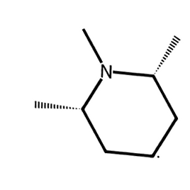 C[C@@H]1C[CH]C[C@H](C)N1C